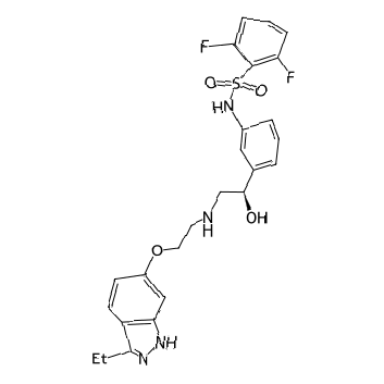 CCc1n[nH]c2cc(OCCNC[C@H](O)c3cccc(NS(=O)(=O)c4c(F)cccc4F)c3)ccc12